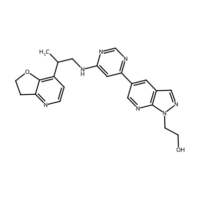 CC(CNc1cc(-c2cnc3c(cnn3CCO)c2)ncn1)c1ccnc2c1OCC2